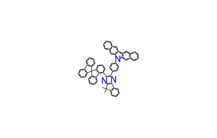 CC1(C)c2ccccc2-c2nc(-c3ccc(-n4c5cc6ccccc6cc5c5cc6ccccc6cc54)cc3)c(-c3cccc4c3-c3ccccc3C43c4ccccc4-c4ccccc43)nc21